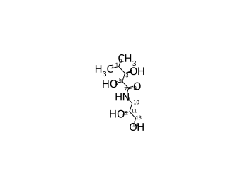 CC(C)[C@@H](O)[C@H](O)C(=O)NCC(O)CO